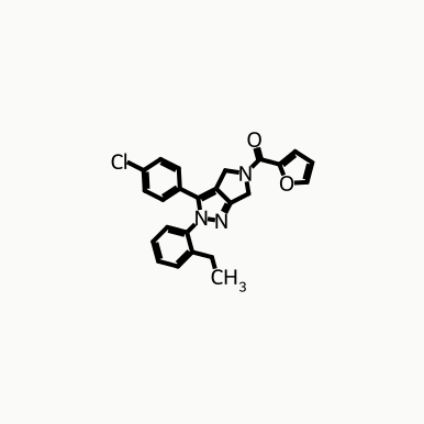 CCc1ccccc1-n1nc2c(c1-c1ccc(Cl)cc1)CN(C(=O)c1ccco1)C2